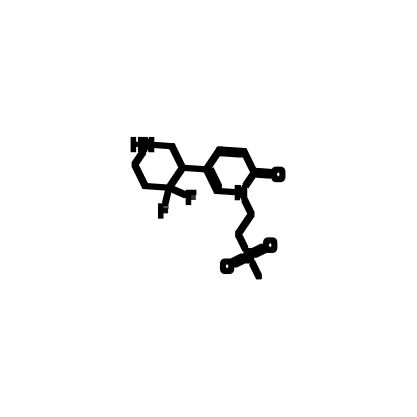 CS(=O)(=O)CCn1cc(C2CNCCC2(F)F)ccc1=O